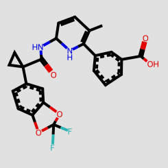 CC1=C(c2cccc(C(=O)O)c2)NC(NC(=O)C2(c3ccc4c(c3)OC(F)(F)O4)CC2)C=C1